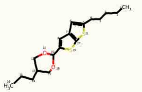 CCCCCc1cc2cc(C3OCC(CCC)CO3)sc2s1